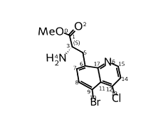 COC(=O)[C@@H](N)Cc1ccc(Br)c2c(Cl)ccnc12